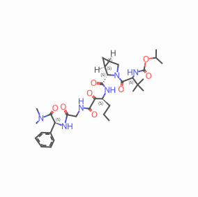 CCC[C@H](NC(=O)[C@@H]1[C@H]2C[C@H]2CN1C(=O)[C@@H](NC(=O)OC(C)C)C(C)(C)C)C(=O)C(=O)NCC(=O)N[C@H](C(=O)N(C)C)c1ccccc1